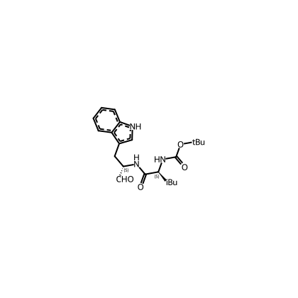 CCC(C)[C@H](NC(=O)OC(C)(C)C)C(=O)N[C@H](C=O)Cc1c[nH]c2ccccc12